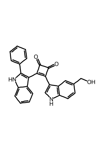 O=c1c(-c2c[nH]c3ccc(CO)cc23)c(-c2c(-c3ccccc3)[nH]c3ccccc23)c1=O